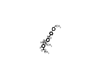 CC[C@H]1CC[C@H](c2ccc(-c3nc4cc(S(=O)(=O)Nc5cc(F)c(C(=O)OC)cc5OC)ccc4o3)cc2)CC1